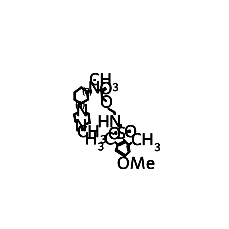 COc1cc(C)c(S(=O)(=O)CNCCOCC(=O)N(C)[C@@H]2CCC[C@H](N3CCN(C)CC3)C2)c(C)c1